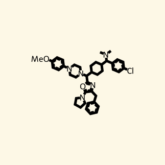 COc1ccc(N2CCN(C(c3nc(Cc4ccccc4)c(N4CCCC4)o3)C3CCC(C(c4ccc(Cl)cc4)N(C)C)CC3)CC2)cc1